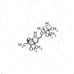 C=C(C)C(C)C(C)(C)CC(O)CO[Si](C)(C)C(C)(C)C